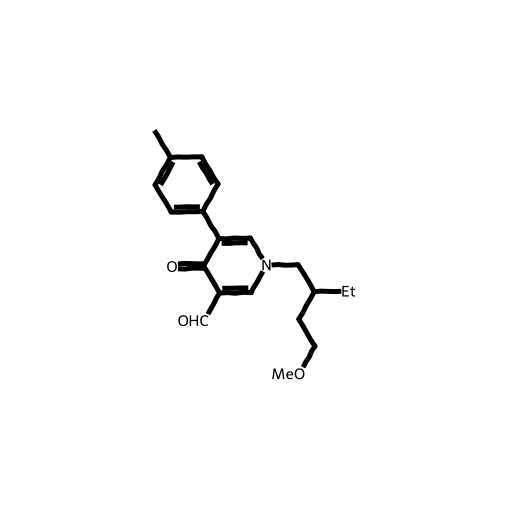 CCC(CCOC)Cn1cc(C=O)c(=O)c(-c2ccc(C)cc2)c1